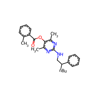 CCCCC(CNc1nc(C)c(OC(=O)c2ccccc2C)c(C)n1)c1ccccc1